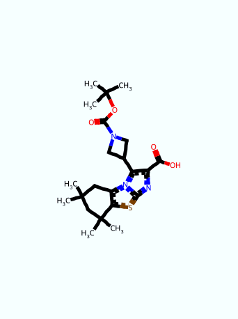 CC1(C)Cc2c(sc3nc(C(=O)O)c(C4CN(C(=O)OC(C)(C)C)C4)n23)C(C)(C)C1